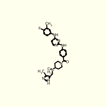 Cc1cc(Nc2ccnc(Nc3ccc(C(=O)N4CCC(N(C)Cc5[nH]cnc5C)CC4)cc3)n2)ccc1F